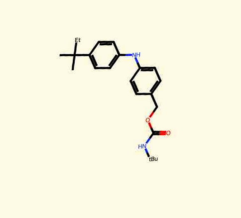 CCC(C)(C)c1ccc(Nc2ccc(COC(=O)NC(C)(C)C)cc2)cc1